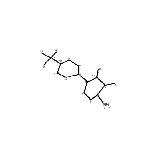 CC1C(N)CCC(C2CCC(C(C)(C)C)CC2)C1C